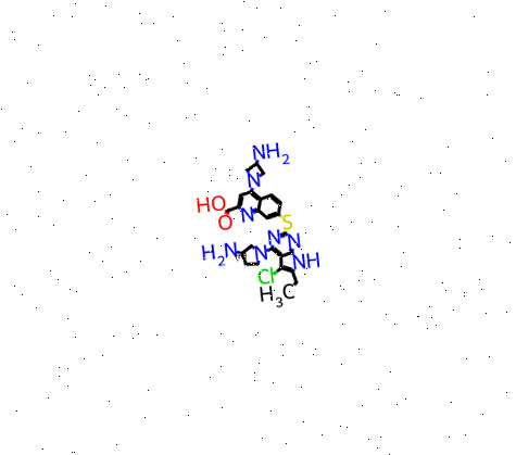 CCc1[nH]c2nc(Sc3ccc4c(N5CC(N)C5)cc(C(=O)O)nc4c3)nc(N3CC[C@@H](N)C3)c2c1Cl